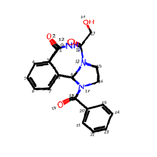 NC(=O)c1ccccc1C1N(C(=O)CO)CCN1C(=O)c1ccccc1